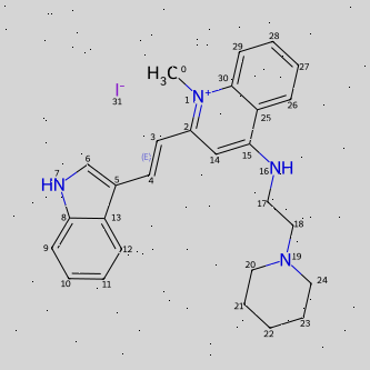 C[n+]1c(/C=C/c2c[nH]c3ccccc23)cc(NCCN2CCCCC2)c2ccccc21.[I-]